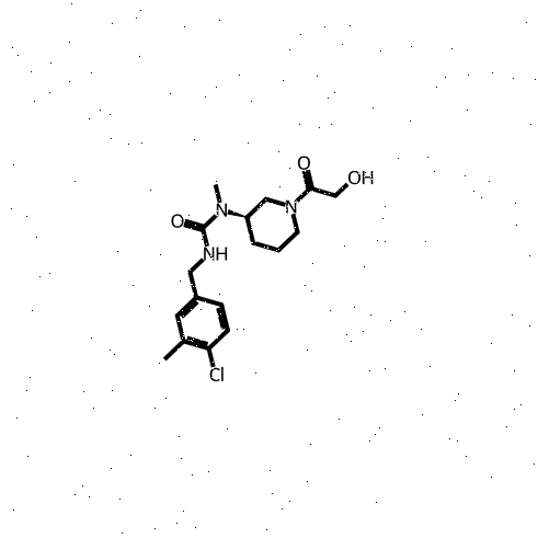 Cc1cc(CNC(=O)N(C)[C@@H]2CCCN(C(=O)CO)C2)ccc1Cl